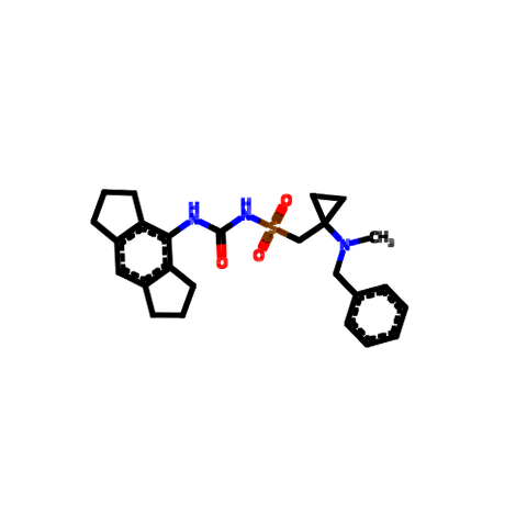 CN(Cc1ccccc1)C1(CS(=O)(=O)NC(=O)Nc2c3c(cc4c2CCC4)CCC3)CC1